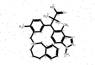 Cc1ccc(C(c2ccc3c(nnn3C)c2C)C(C)(C)C(=O)O)cc1CN1CCCc2ccccc2C1